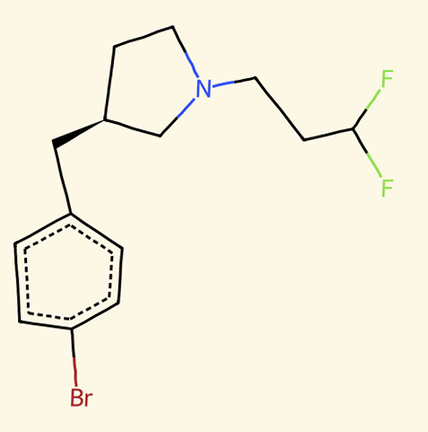 FC(F)CCN1CC[C@H](Cc2ccc(Br)cc2)C1